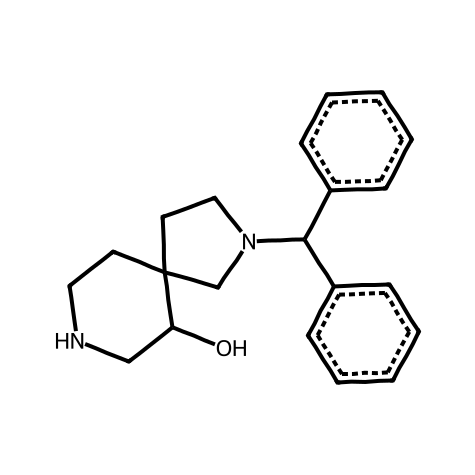 OC1CNCCC12CCN(C(c1ccccc1)c1ccccc1)C2